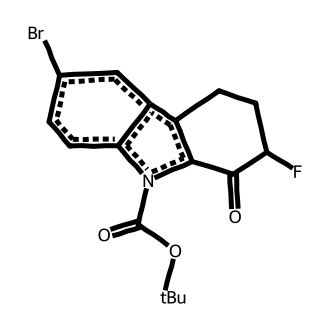 CC(C)(C)OC(=O)n1c2c(c3cc(Br)ccc31)CCC(F)C2=O